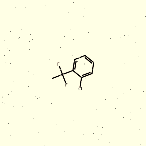 CC(F)(F)c1ccccc1Cl